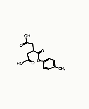 Cc1ccc(OC(=O)C(CC(=O)O)CC(=O)O)cc1